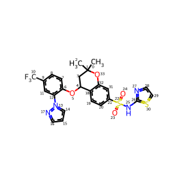 CC1(C)CC(Oc2ccc(C(F)(F)F)cc2-n2cccn2)c2ccc(S(=O)(=O)Nc3nccs3)cc2O1